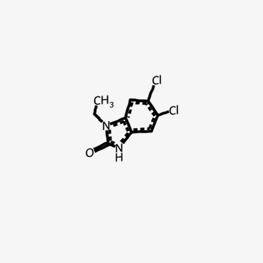 CCn1c(=O)[nH]c2cc(Cl)c(Cl)cc21